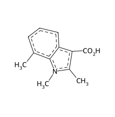 Cc1cccc2c(C(=O)O)c(C)n(C)c12